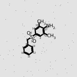 Cc1cc(S(=O)(=O)Cc2ccccc2)cc(C)c1N